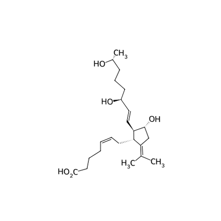 CC(C)=C1C[C@@H](O)[C@H](/C=C/[C@@H](O)CCC[C@@H](C)O)[C@H]1C/C=C\CCCC(=O)O